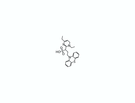 CCC1=CCN(CC)C(C(CCN2c3ccccc3Sc3ccccc32)S(=O)(=O)O)=N1